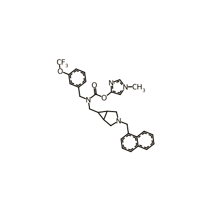 Cn1cnc(OC(=O)N(Cc2cccc(OC(F)(F)F)c2)CC2C3CN(Cc4cccc5ccccc45)CC32)c1